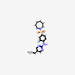 C=Cc1cnc(Nc2ccc(S(=O)(=O)N3CCCCCC3)cc2F)nc1